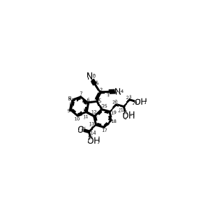 N#CC(C#N)=C1c2ccccc2-c2c(C(=O)O)ccc(CC(O)CO)c21